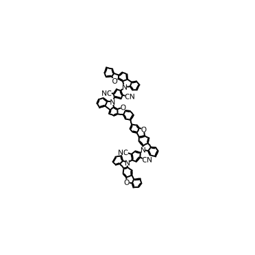 N#Cc1cc(-n2c3ccccc3c3cc4oc5cc(-c6ccc7oc8c(ccc9c%10ccccc%10n(-c%10cc(C#N)c(-n%11c%12ccccc%12c%12ccc%13c%14ccccc%14oc%13c%12%11)cc%10C#N)c98)c7c6)ccc5c4cc32)c(C#N)cc1-n1c2ccccc2c2cc3oc4ccccc4c3cc21